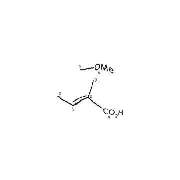 CC=C(C)C(=O)O.COC